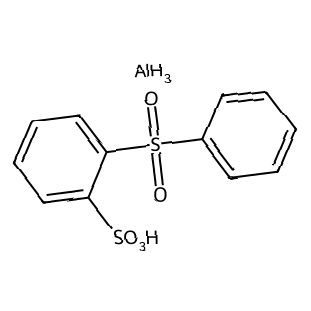 O=S(=O)(O)c1ccccc1S(=O)(=O)c1ccccc1.[AlH3]